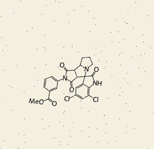 COC(=O)c1cccc(N2C(=O)C3C4CCCN4C4(C(=O)Nc5c(Cl)cc(Cl)cc54)C3C2=O)c1